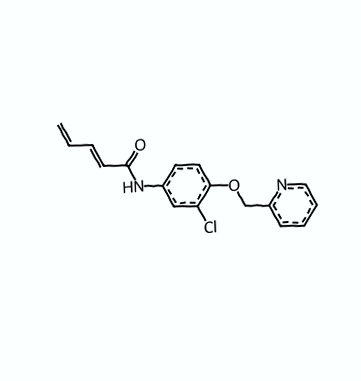 C=CC=CC(=O)Nc1ccc(OCc2ccccn2)c(Cl)c1